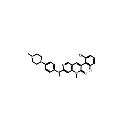 CN1CCN(c2ccc(Nc3cc4c(cn3)cc(-c3c(Cl)cccc3Cl)c(=O)n4C)cc2)CC1